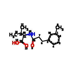 Cc1cccc(CCC(=O)N[C@@H](C(=O)O)C(C)C)c1